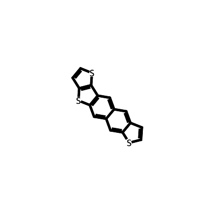 c1cc2cc3cc4c(cc3cc2s1)sc1ccsc14